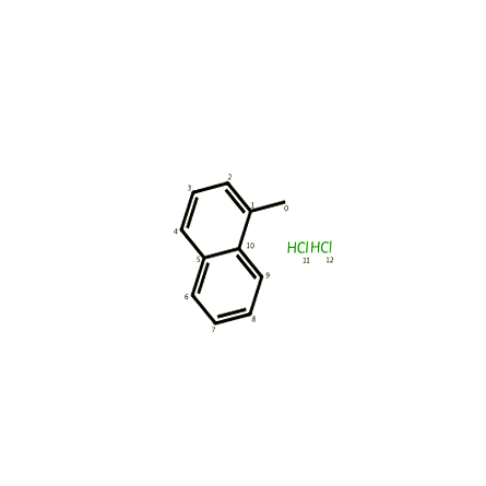 Cc1cccc2ccccc12.Cl.Cl